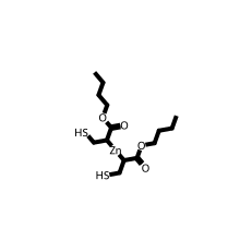 CCCCOC(=O)[CH](CS)[Zn][CH](CS)C(=O)OCCCC